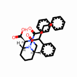 O=C(O)[C@@H]1[C@H]2CCC[C@@H](CN1C(=O)CCc1ccccc1)N2C(=O)C(c1ccccc1)c1ccccc1